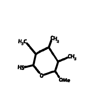 COC1OC(S)C(C)C(C)C1C